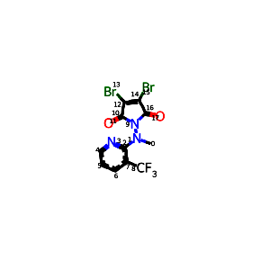 CN(c1ncccc1C(F)(F)F)N1C(=O)C(Br)=C(Br)C1=O